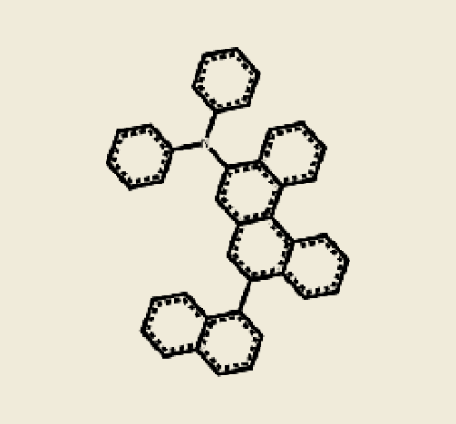 c1ccc(N(c2ccccc2)c2cc3cc(-c4cccc5ccccc45)c4ccccc4c3c3ccccc23)cc1